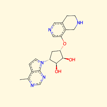 Cc1ncnc2c1ccn2[C@@H]1C[C@H](Oc2cncc3c2CNCC3)[C@@H](O)[C@H]1O